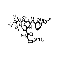 CO[C@H]1CCC1NC(=O)c1cnn2c(N(C)C(=O)OC(C)(C)C)cc(NC3=CC=CN([C@H]4C[C@H](F)C4)C3O)nc12